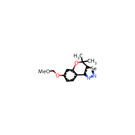 COCOc1ccc2c(c1)OC(C)(C)c1[se]nnc1-2